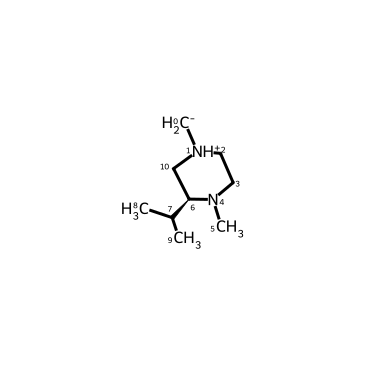 [CH2-][NH+]1CCN(C)[C@@H](C(C)C)C1